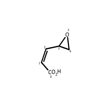 O=C(O)/C=C\C1CO1